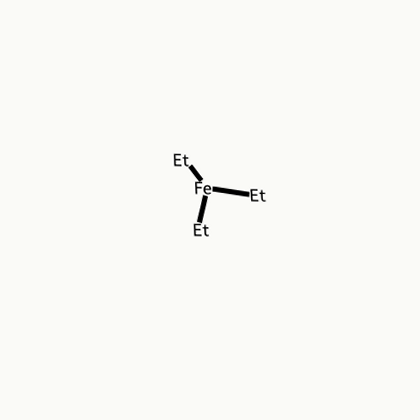 C[CH2][Fe]([CH2]C)[CH2]C